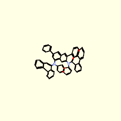 c1ccc(-c2cc(N(c3ccccc3)c3cc4ccccc4c4ccccc34)c3cc(N(c4ccccc4)c4cc5ccccc5c5ccccc45)c(-c4ccccc4)cc3c2)cc1